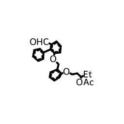 CCC(CCOc1ccccc1COc1cccc(C=O)c1-c1ccccc1)OC(C)=O